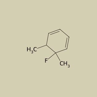 CC1C=CC=CC1(C)F